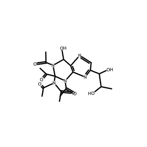 CC(=O)N(C(C)=O)C1(C(C)=O)N(C(C)=O)c2nc(C(O)C(C)O)cnc2C(O)N1C(C)=O